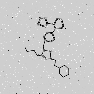 CCCCC1=CN(CCC2CCCCC2)NN1Cc1ccc(-c2ccccc2-c2nnn[nH]2)cn1